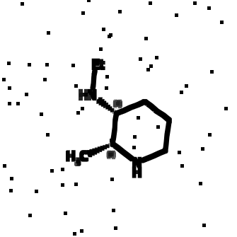 CCN[C@@H]1CCCN[C@@H]1C